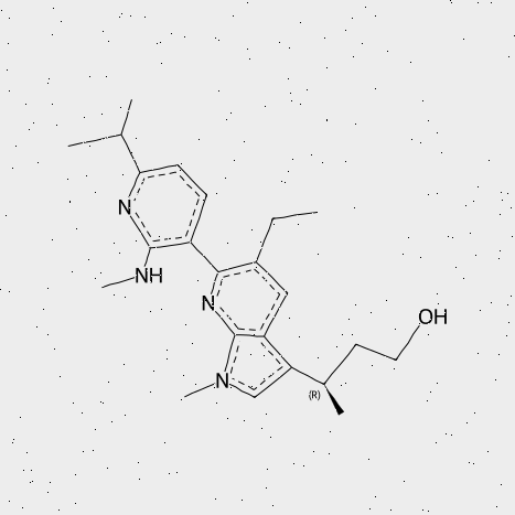 CCc1cc2c([C@H](C)CCO)cn(C)c2nc1-c1ccc(C(C)C)nc1NC